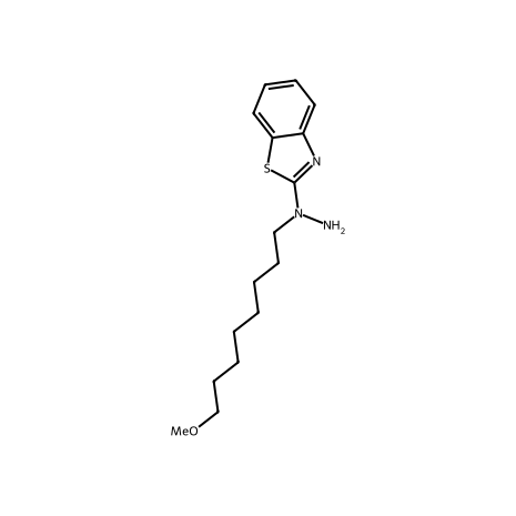 COCCCCCCCCN(N)c1nc2ccccc2s1